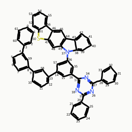 c1ccc(-c2cccc(-c3cccc(-c4cc(-c5nc(-c6ccccc6)nc(-c6ccccc6)n5)cc(-n5c6ccccc6c6cc7c(cc65)sc5ccccc57)c4)c3)c2)cc1